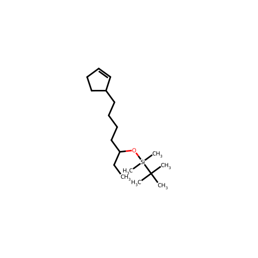 CCC(CCCCC1C=CCC1)O[Si](C)(C)C(C)(C)C